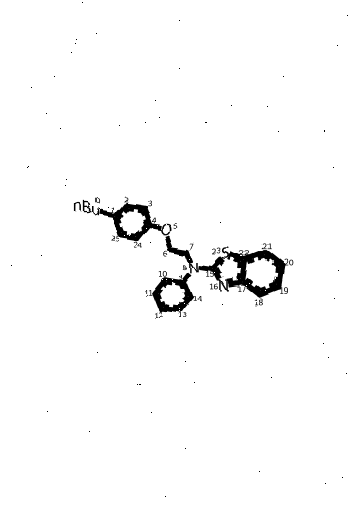 CCCCc1ccc(OCCN(c2ccccc2)c2nc3ccccc3s2)cc1